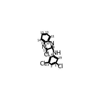 Clc1cc(Cl)cc(Nc2nc3ccccc3nc2Cl)c1